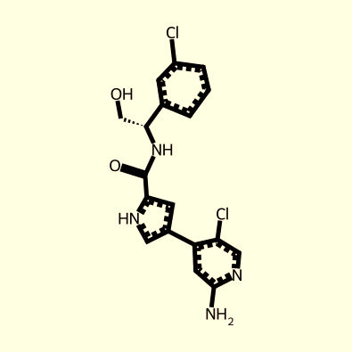 Nc1cc(-c2c[nH]c(C(=O)N[C@H](CO)c3cccc(Cl)c3)c2)c(Cl)cn1